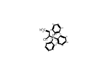 C=CC(Cl)[PH](c1ccccc1)(c1ccccc1)c1ccccc1